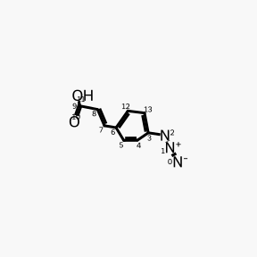 [N-]=[N+]=Nc1ccc(C=CC(=O)O)cc1